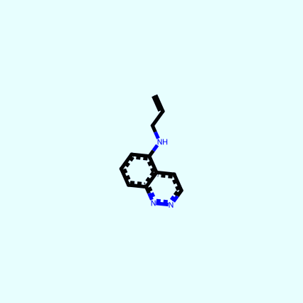 C=CCNc1cccc2nnccc12